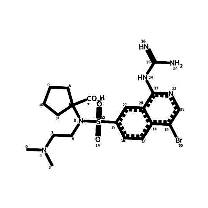 CN(C)CCN(C1(C(=O)O)CCCC1)S(=O)(=O)c1ccc2c(Br)cnc(NC(=N)N)c2c1